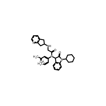 C=C(C)/C=C(\C=C/C)N(C(=O)CNC1Cc2cccnc2C1)C1C(=O)N(C2CCCCC2)c2ccccc21